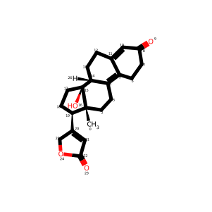 C[C@]12CCC3=C4CCC(=O)C=C4CC[C@H]3[C@@]1(O)CC[C@@H]2C1=CC(=O)OC1